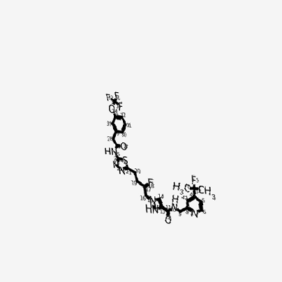 CC(C)(F)c1ccnc(CNC(=O)c2cn(CC(F)CCc3nnc(NC(=O)Cc4cccc(OC(F)(F)F)c4)s3)[nH]2)c1